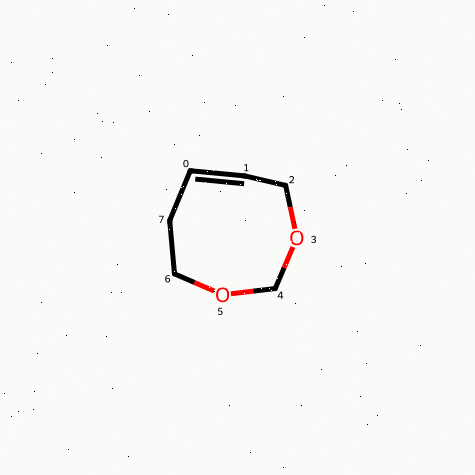 C1=CCOCOCC1